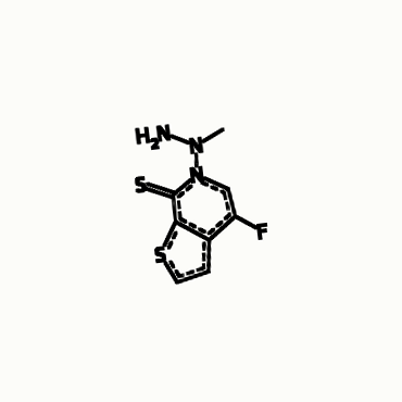 CN(N)n1cc(F)c2ccsc2c1=S